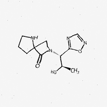 C[C@@H](O)[C@@H](c1ncno1)N1CC2(CCCN2)C1=O